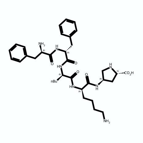 CCCC[C@@H](NC(=O)[C@@H](Cc1ccccc1)NC(=O)[C@H](N)Cc1ccccc1)C(=O)N[C@H](CCCCN)C(=O)N[C@H]1CN[C@H](C(=O)O)C1